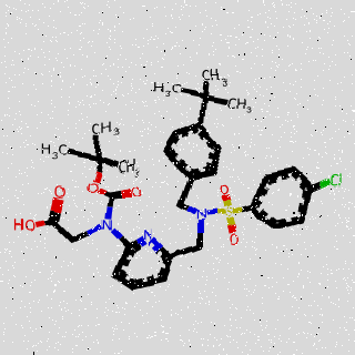 CC(C)(C)OC(=O)N(CC(=O)O)c1cccc(CN(Cc2ccc(C(C)(C)C)cc2)S(=O)(=O)c2ccc(Cl)cc2)n1